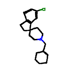 Clc1ccc2c(c1)C1(CC2)CCN(CC2CCCCC2)CC1